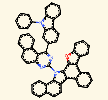 c1ccc(-n2c3ccccc3c3ccc(-c4nc(-n5c6c7ccccc7ccc6c6c7ccccc7c7c8ccccc8oc7c65)nc5ccc6ccccc6c45)cc32)cc1